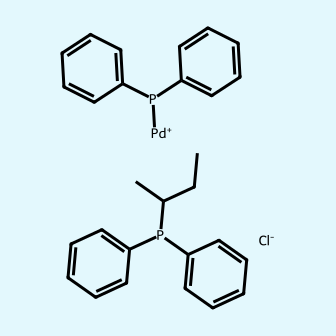 CCC(C)P(c1ccccc1)c1ccccc1.[Cl-].[Pd+][P](c1ccccc1)c1ccccc1